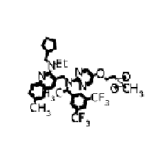 CCN(CC1CCCC1)c1nc2ccc(C)cc2cc1CN(c1ncc(OCCS(C)(=O)=O)cn1)C(C)c1cc(C(F)(F)F)cc(C(F)(F)F)c1